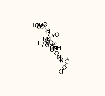 CC1(C)CCC(c2ccc(Cl)cc2)=C(CN2CCN(c3ccc(C(=O)NS(=O)(=O)c4ccc(NC(CCN5CCC(C(=O)OOP(C)(=O)O)CC5)CSc5ccccc5)c(S(=O)(=O)C(F)(F)F)c4)cc3)CC2)C1